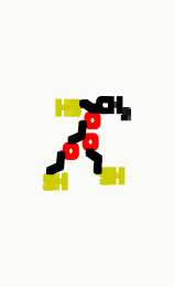 C=C(CS)OCC(COCCCS)OCCCS